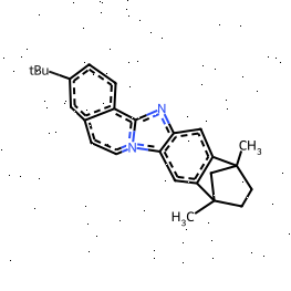 CC(C)(C)c1ccc2c(ccn3c4cc5c(cc4nc23)C2(C)CCC5(C)C2)c1